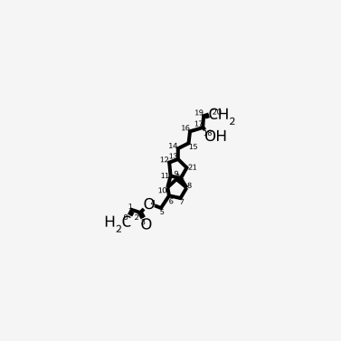 C=CC(=O)OCC1CC2CC1C1CC(CCCC(O)C=C)CC21